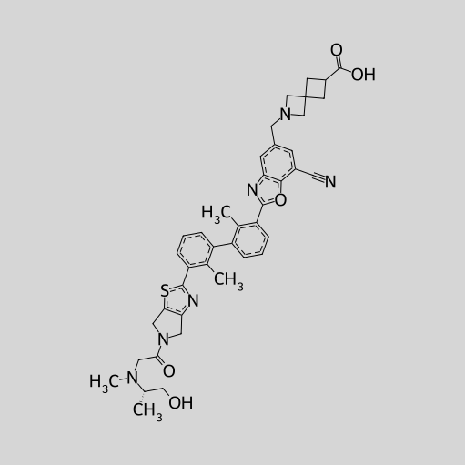 Cc1c(-c2nc3cc(CN4CC5(CC(C(=O)O)C5)C4)cc(C#N)c3o2)cccc1-c1cccc(-c2nc3c(s2)CN(C(=O)CN(C)[C@@H](C)CO)C3)c1C